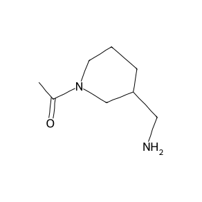 CC(=O)N1CCCC(CN)C1